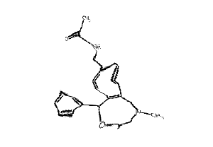 CC(=O)NCc1ccc2c(c1)C(c1ccccc1)OCCN(C)C2